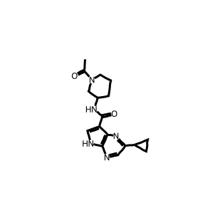 CC(=O)N1CCCC(NC(=O)c2c[nH]c3ncc(C4CC4)nc23)C1